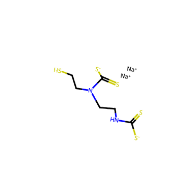 S=C([S-])NCCN(CCS)C(=S)[S-].[Na+].[Na+]